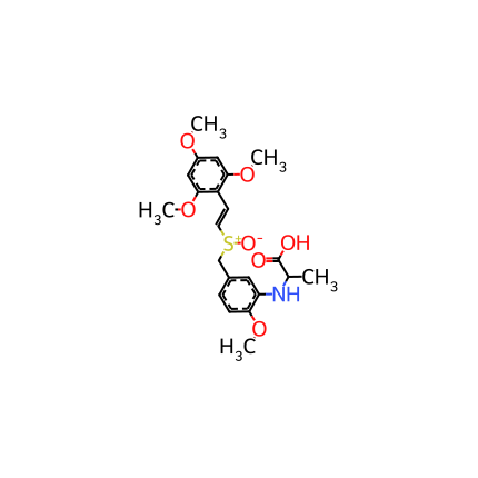 COc1cc(OC)c(/C=C/[S+]([O-])Cc2ccc(OC)c(NC(C)C(=O)O)c2)c(OC)c1